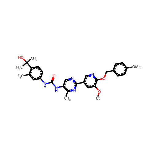 CCOc1cc(-c2ncc(NC(=O)Nc3ccc(C(C)(C)O)c(C(F)(F)F)c3)c(C)n2)cnc1OCc1ccc(OC)cc1